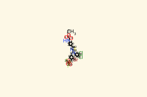 CCOC(=O)C(=O)Nc1ccc(-c2csc(N(Cc3ccc(CP(=O)(OF)OF)c(Br)c3)c3ccc(Cl)c(Cl)c3)n2)cc1